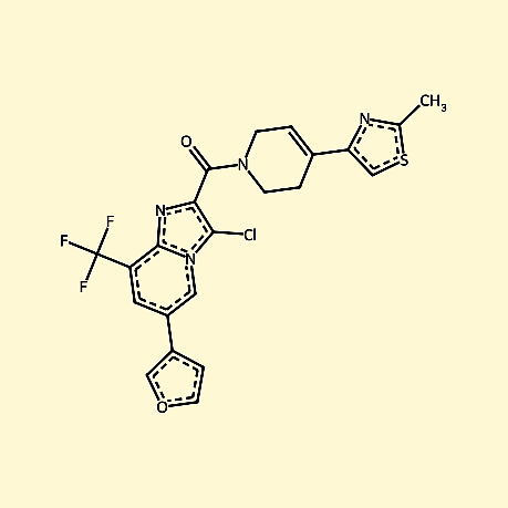 Cc1nc(C2=CCN(C(=O)c3nc4c(C(F)(F)F)cc(-c5ccoc5)cn4c3Cl)CC2)cs1